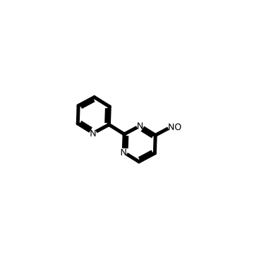 O=Nc1ccnc(-c2ccccn2)n1